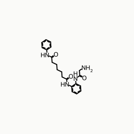 NCC(=O)Nc1ccccc1NC(=O)CCCCCC(=O)Nc1ccccc1